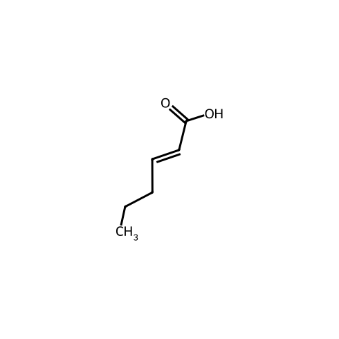 CCC/C=C/C(=O)O